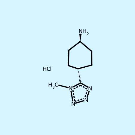 Cl.Cn1nnnc1[C@H]1CC[C@H](N)CC1